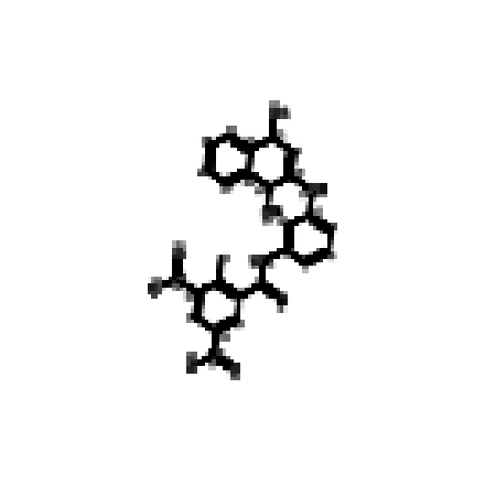 Cc1c(C(=O)Nc2cccc(NC3=CC(O)c4ccccc4C3O)c2)cc([N+](=O)[O-])cc1[N+](=O)[O-]